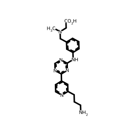 CN(CC(=O)O)Cc1cccc(Nc2ncnc(-c3ccnc(CCCN)c3)n2)c1